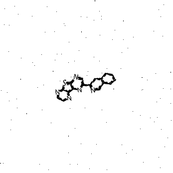 c1ccc2cc(-c3cnc4sc5nccnc5c4n3)ncc2c1